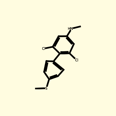 CNc1cc(Cl)c(-c2ccc(SC)cc2)c(Cl)c1